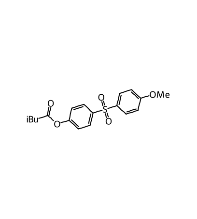 CCC(C)C(=O)Oc1ccc(S(=O)(=O)c2ccc(OC)cc2)cc1